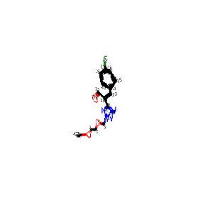 COCCOCn1nnc(C(C=O)=Cc2ccc(F)cc2)n1